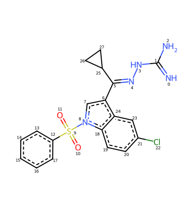 N=C(N)NN=C(c1cn(S(=O)(=O)c2ccccc2)c2ccc(Cl)cc12)C1CC1